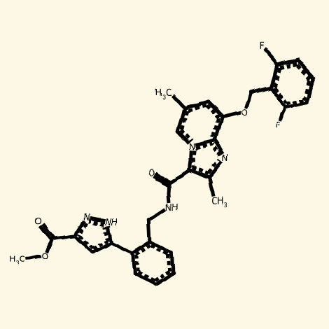 COC(=O)c1cc(-c2ccccc2CNC(=O)c2c(C)nc3c(OCc4c(F)cccc4F)cc(C)cn23)[nH]n1